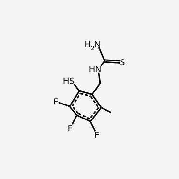 Cc1c(F)c(F)c(F)c(S)c1CNC(N)=S